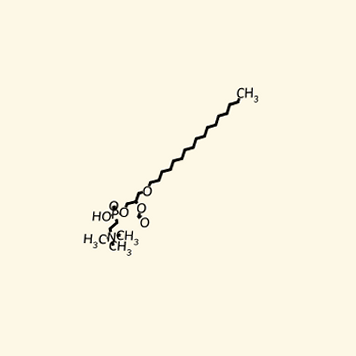 CCCCCCCCCCCCCCCCCOCC(COP(=O)(O)CC[N+](C)(C)C)OC=O